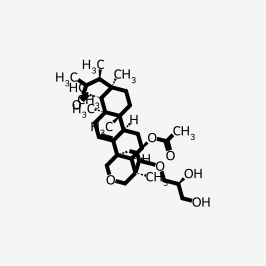 CC(=O)O[C@@H]1C[C@@]23COC[C@](C)(C1OC[C@@H](O)CO)[C@@H]2CC[C@H]1C3=CC[C@@]2(C)[C@H](C(=O)O)[C@@](C)([C@H](C)C(C)C)CC[C@]12C